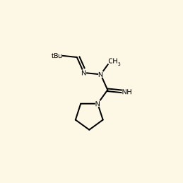 CN(/N=C/C(C)(C)C)C(=N)N1CCCC1